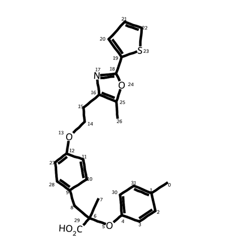 Cc1ccc(OC(C)(Cc2ccc(OCCc3nc(-c4cccs4)oc3C)cc2)C(=O)O)cc1